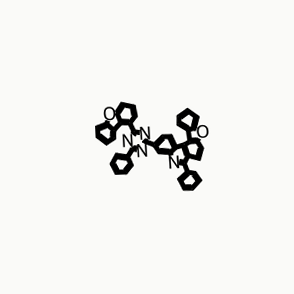 c1ccc(-c2nc(-c3ccc4c(c3)nc(-c3ccccc3)c3ccc5oc6ccccc6c5c34)nc(-c3cccc4oc5ccccc5c34)n2)cc1